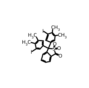 Cc1cc(C2(c3cc(C)c(C)c(I)c3)c3ccccc3C(=O)S2(=O)=O)cc(I)c1C